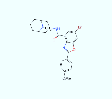 COc1ccc(-c2nc3c(C(=O)NC4CC5CCCC(C4)N5C)cc(Br)cc3o2)cc1